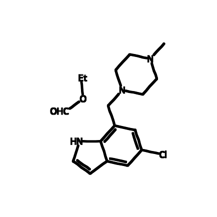 CCOC=O.CN1CCN(Cc2cc(Cl)cc3cc[nH]c23)CC1